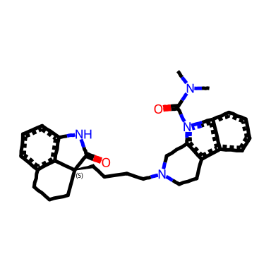 CN(C)C(=O)n1c2c(c3ccccc31)CCN(CCCC[C@@]13CCCc4cccc(c41)NC3=O)C2